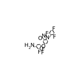 NCc1ccc(Oc2ccc3c(c2)c(=O)ncn3Cc2c(F)cc(F)cc2F)c(C(F)(F)F)c1